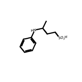 CC(CCS(=O)(=O)O)Nc1ccccc1